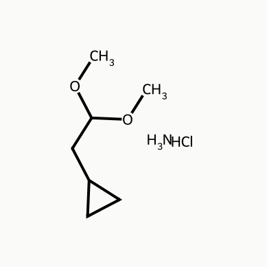 COC(CC1CC1)OC.Cl.N